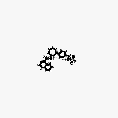 C[C@@H](NC1CCCCC(c2ccc(CNS(C)(=O)=O)cc2)C1)c1cccc2ccccc12